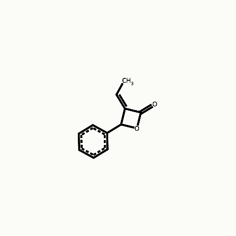 C/C=C1\C(=O)OC1c1ccccc1